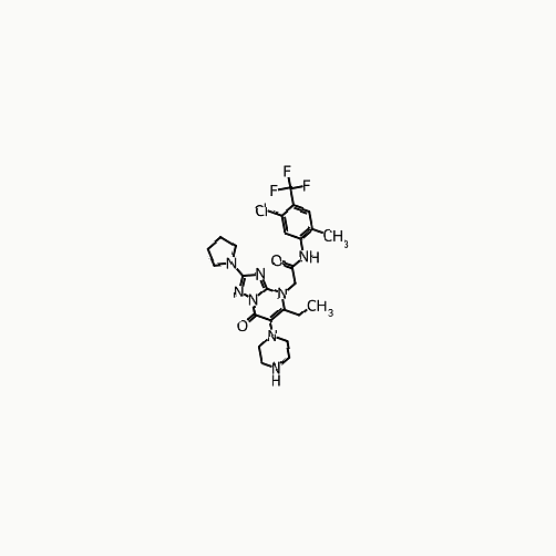 CCc1c(N2CCNCC2)c(=O)n2nc(N3CCCC3)nc2n1CC(=O)Nc1cc(Cl)c(C(F)(F)F)cc1C